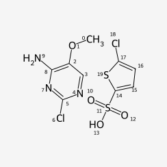 COc1cnc(Cl)nc1N.O=S(=O)(O)c1ccc(Cl)s1